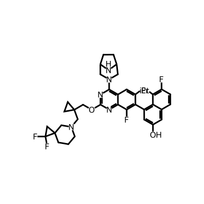 CCc1c(F)ccc2cc(O)cc(-c3c(C(C)C)cc4c(N5CC6CCC(C5)N6)nc(OCC5(CN6CCCC7(C6)CC7(F)F)CC5)nc4c3F)c12